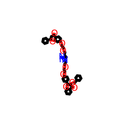 O=c1cc(-c2ccccc2)oc2cc(OCCOCc3cn(CCOCCOc4ccc(-c5oc6ccccc6c(=O)c5OCc5ccccc5)cc4)nn3)ccc12